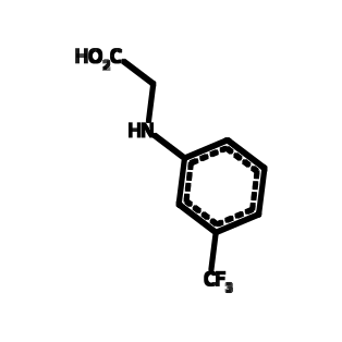 O=C(O)CNc1cccc(C(F)(F)F)c1